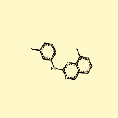 Cc1cccc2cnc(Nc3cccc(N)c3)nc12